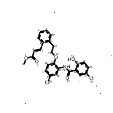 COC(=O)C=Cc1ccccc1CCOc1ccc(Cl)cc1NC(=O)c1cc(Cl)ccc1O